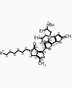 CCCCC(CC)C[Si]1(CC(CC)CCCC)c2cc(C)sc2-c2sc(-c3sc(C)c4c3C(=O)N(CCCCCCBr)C4)cc21